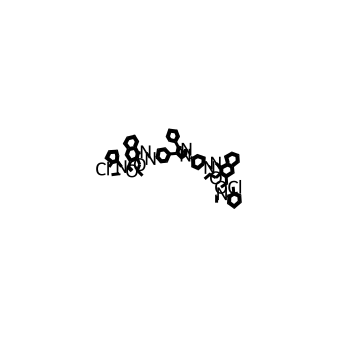 CCOc1c(CON(CC)c2ccccc2Cl)cc2ccccc2c1N=Nc1ccc(-n2cc(-c3ccc(N=Nc4c(OCC)c(C(=O)N(CC)c5ccccc5Cl)cc5ccccc45)cc3)c(-c3ccccc3)n2)cc1